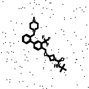 CN1CCN(Cc2ccccc2-c2ccc(COC3CN(C(=O)NC(C)(C)C)C3)c(C(F)(F)F)c2)CC1